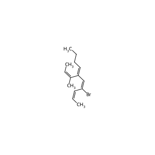 C\C=C/C(Br)=C\C(=C\CCC)C(\C)=C/C